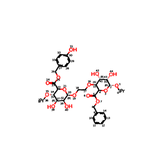 CC(C)O[C@@H]1OC(C(=O)OCc2ccccc2)[C@@H](OCCO[C@@H]2OC(C(=O)OCc3ccc(O)cc3)[C@@H](OC(C)C)[C@H](O)[C@@H]2O)[C@H](O)[C@@H]1O